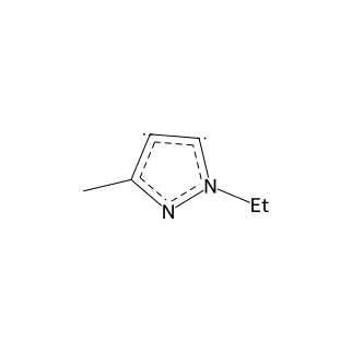 CCn1[c][c]c(C)n1